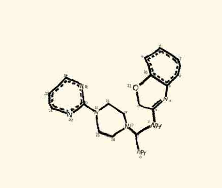 CCCC(NC1=Nc2ccccc2OC1)N1CCN(c2ncccn2)CC1